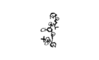 CC(C)N(CCOc1ccccn1)C(=O)c1cc(Cl)cc(OCCN(C(=O)OC(C)(C)C)c2ccncc2)c1